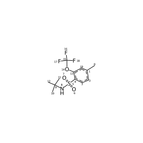 Cc1ccc(S(=O)(=O)NC(C)(C)C)c(OC(F)(F)F)c1